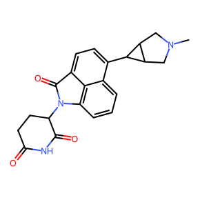 CN1CC2C(C1)C2c1ccc2c3c(cccc13)N(C1CCC(=O)NC1=O)C2=O